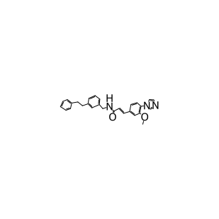 COc1cc(C=CC(=O)NCc2cccc(CCc3ccccc3)c2)ccc1-n1ccnc1